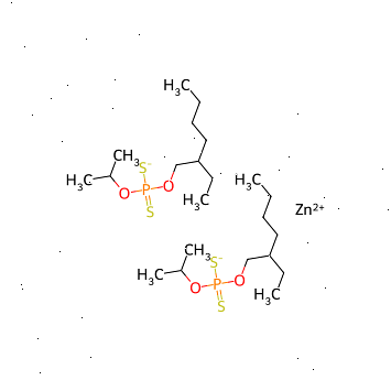 CCCCC(CC)COP(=S)([S-])OC(C)C.CCCCC(CC)COP(=S)([S-])OC(C)C.[Zn+2]